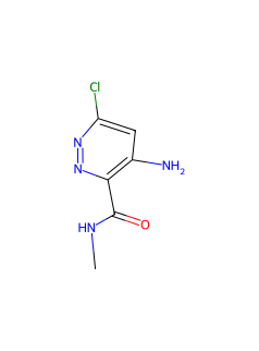 CNC(=O)c1nnc(Cl)cc1N